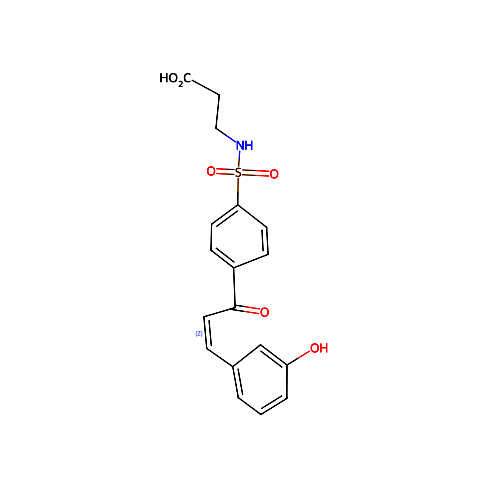 O=C(O)CCNS(=O)(=O)c1ccc(C(=O)/C=C\c2cccc(O)c2)cc1